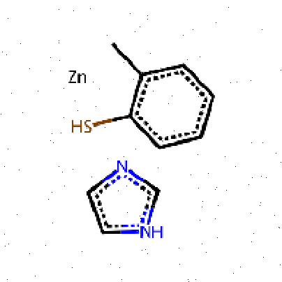 Cc1ccccc1S.[Zn].c1c[nH]cn1